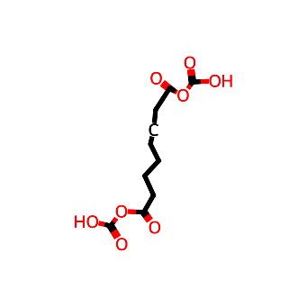 O=C(O)OC(=O)CCCCCCC(=O)OC(=O)O